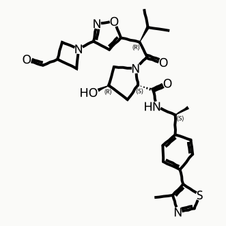 Cc1ncsc1-c1ccc([C@H](C)NC(=O)[C@@H]2C[C@@H](O)CN2C(=O)[C@@H](c2cc(N3CC(C=O)C3)no2)C(C)C)cc1